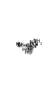 Nc1ncnc2c1ncn2[C@@H]1O[C@H](CO)C(O)C1OCCCCn1ccnc1